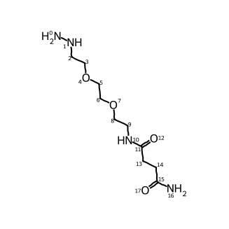 NNCCOCCOCCNC(=O)CCC(N)=O